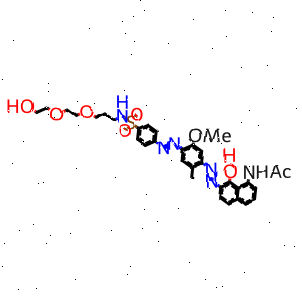 COc1cc(N=Nc2ccc3cccc(NC(C)=O)c3c2O)c(C)cc1N=Nc1ccc(S(=O)(=O)NCCCOCCOCCO)cc1